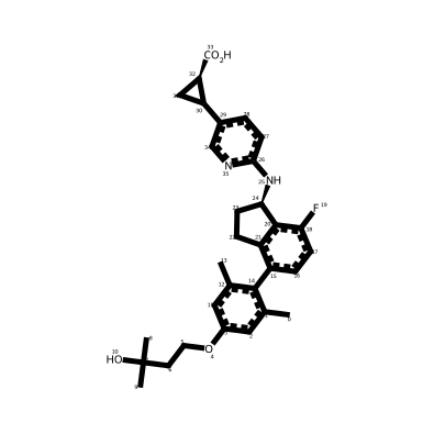 Cc1cc(OCCC(C)(C)O)cc(C)c1-c1ccc(F)c2c1CC[C@H]2Nc1ccc(C2C[C@H]2C(=O)O)cn1